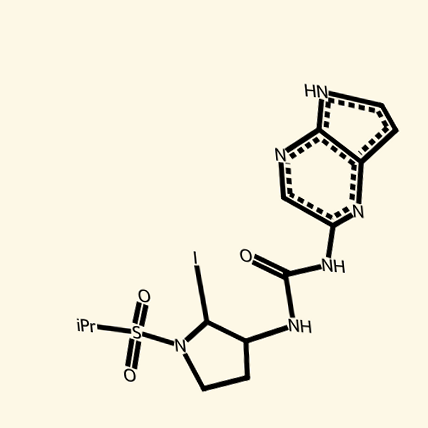 CC(C)S(=O)(=O)N1CCC(NC(=O)Nc2cnc3[nH]ccc3n2)C1I